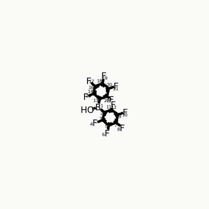 OB(c1c(F)c(F)c(F)c(F)c1F)c1c(F)c(F)c(F)c(F)c1F